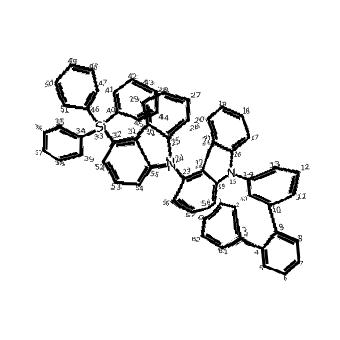 c1ccc(-c2ccccc2-c2cccc(-n3c4ccccc4c4c(-n5c6ccccc6c6c([Si](c7ccccc7)(c7ccccc7)c7ccccc7)cccc65)cccc43)c2)cc1